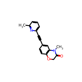 Cc1cccc(C#Cc2ccc3c(c2)N(C)C(=O)CO3)n1